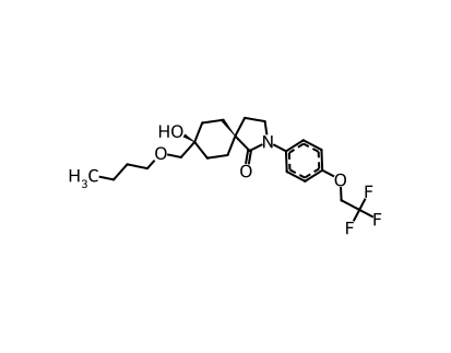 CCCCOC[C@]1(O)CC[C@]2(CCN(c3ccc(OCC(F)(F)F)cc3)C2=O)CC1